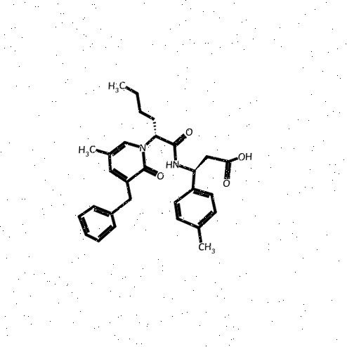 CCCC[C@H](C(=O)N[C@@H](CC(=O)O)c1ccc(C)cc1)n1cc(C)cc(Cc2ccccc2)c1=O